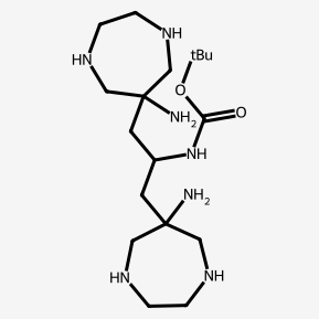 CC(C)(C)OC(=O)NC(CC1(N)CNCCNC1)CC1(N)CNCCNC1